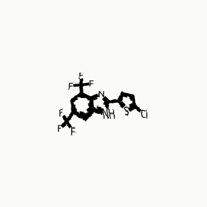 FC(F)(F)c1cc(C(F)(F)F)c2nc(-c3ccc(Cl)s3)[nH]c2c1